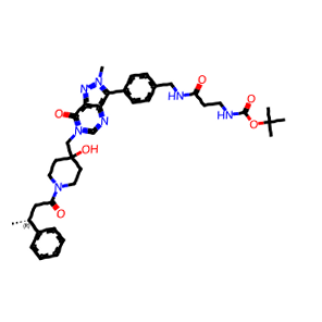 C[C@H](CC(=O)N1CCC(O)(Cn2cnc3c(-c4ccc(CNC(=O)CCNC(=O)OC(C)(C)C)cc4)n(C)nc3c2=O)CC1)c1ccccc1